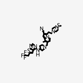 CSN1CCN(CCc2c(C#N)cc3c(C)c(CN4CCC(Nc5ncnc6sc(CC(F)(F)F)cc56)CC4)ccn23)CC1